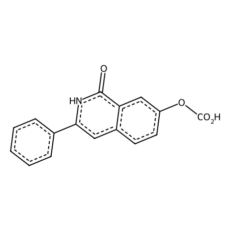 O=C(O)Oc1ccc2cc(-c3ccccc3)[nH]c(=O)c2c1